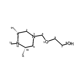 C[C@@H]1CN(COCCO)C[C@H](C)N1C